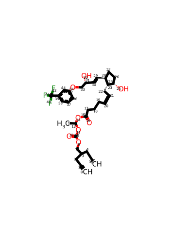 C#CCC(CC#C)COC(=O)OC(C)OC(=O)CCC/C=C\C[C@H]1[C@@H](O)CC[C@@H]1/C=C/[C@@H](O)COc1cccc(C(F)(F)F)c1